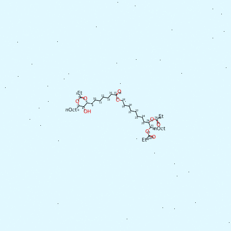 CCCCCCCCC(OC(=O)CC)C(O)CCCCCCCC(=O)OCCCCCCCCC(OC(=O)CC)C(CCCCCCCC)OC(=O)CC